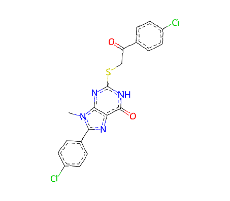 Cn1c(-c2ccc(Cl)cc2)nc2c(=O)[nH]c(SCC(=O)c3ccc(Cl)cc3)nc21